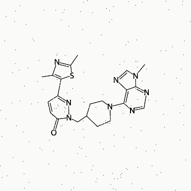 Cc1nc(C)c(-c2ccc(=O)n(CC3CCN(c4ncnc5c4ncn5C)CC3)n2)s1